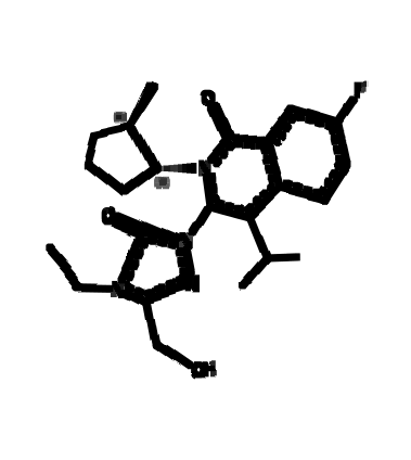 CCn1c(CO)nn(-c2c(C(C)C)c3ccc(F)cc3c(=O)n2[C@@H]2CCC[C@H]2C)c1=O